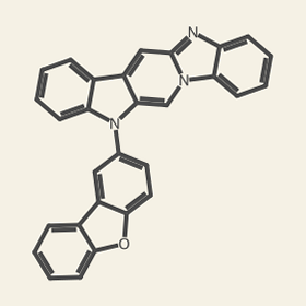 c1ccc2c(c1)nc1cc3c4ccccc4n(-c4ccc5oc6ccccc6c5c4)c3cn12